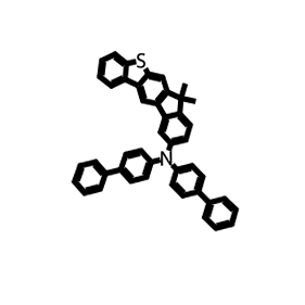 CC1(C)c2ccc(N(c3ccc(-c4ccccc4)cc3)c3ccc(-c4ccccc4)cc3)cc2-c2cc3c(cc21)sc1ccccc13